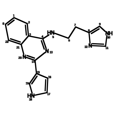 c1ccc2c(NCCc3c[nH]cn3)nc(-c3cc[nH]c3)nc2c1